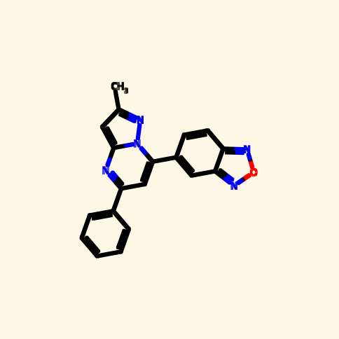 Cc1cc2nc(-c3ccccc3)cc(-c3ccc4nonc4c3)n2n1